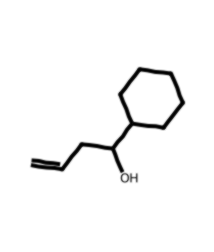 C=CCC(O)C1CCCCC1